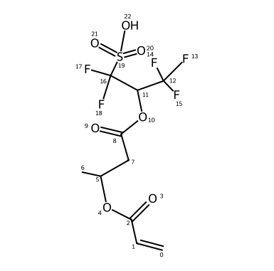 C=CC(=O)OC(C)CC(=O)OC(C(F)(F)F)C(F)(F)S(=O)(=O)O